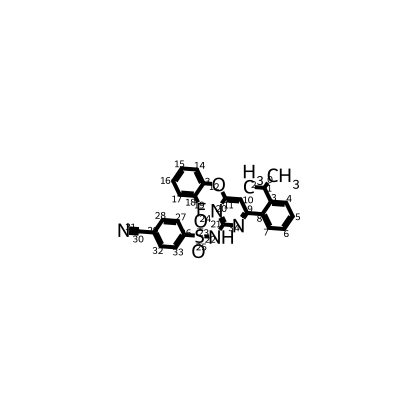 CC(C)c1ccccc1-c1cc(Oc2ccccc2F)nc(NS(=O)(=O)c2ccc(C#N)cc2)n1